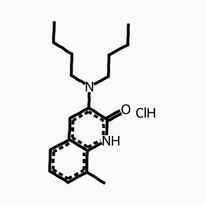 CCCCN(CCCC)c1cc2cccc(C)c2[nH]c1=O.Cl